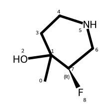 CC1(O)CCNC[C@H]1F